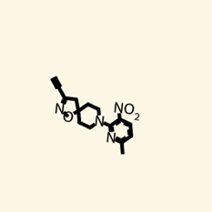 C#CC1=NOC2(CCN(c3nc(C)ccc3[N+](=O)[O-])CC2)C1